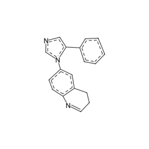 C1=Nc2ccc(-n3cncc3-c3ccccc3)cc2CC1